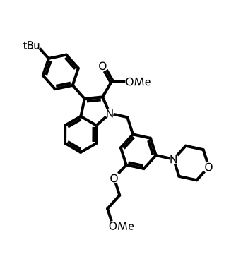 COCCOc1cc(Cn2c(C(=O)OC)c(-c3ccc(C(C)(C)C)cc3)c3ccccc32)cc(N2CCOCC2)c1